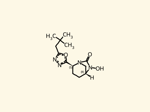 CC(C)(C)Cc1nnc([C@@H]2CC[C@@H]3CN2C(=O)N3O)o1